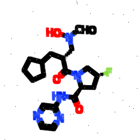 O=CN(O)C[C@@H](CC1CCCC1)C(=O)N1C[C@H](F)C[C@H]1C(=O)Nc1cnccn1